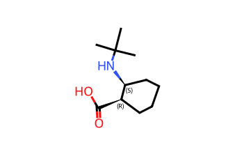 CC(C)(C)N[C@H]1CCCC[C@H]1C(=O)O